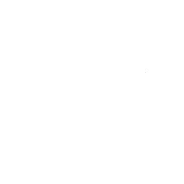 SCCSC(CC(SCCS)SCCS)SCCS